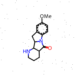 COc1ccc2c(c1)CC1C3NCCCC3C(=O)N21